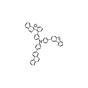 c1cc(-c2cccc3oc4c5ccccc5ccc4c23)cc(N(c2ccc(-c3ccc4c(ccc5ccccc54)c3)cc2)c2ccc(-c3ccc4sc5ccccc5c4c3)cc2)c1